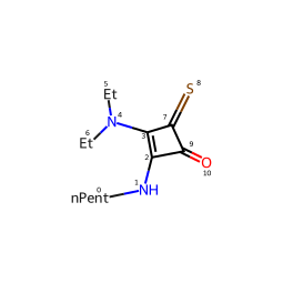 CCCCCNc1c(N(CC)CC)c(=S)c1=O